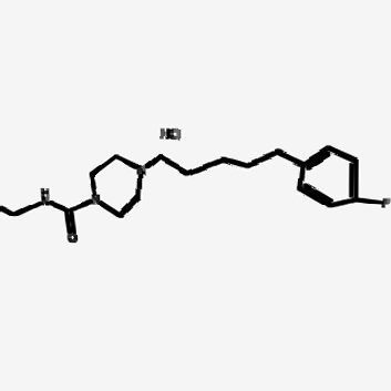 CCNC(=O)N1CCN(CCCCCc2ccc(F)cc2)CC1.Cl